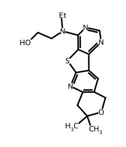 CCN(CCO)c1ncnc2c1sc1nc3c(cc12)COC(C)(C)C3